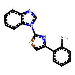 O=[N+]([O-])c1ccccc1-c1csc(-n2cnc3ccccc32)n1